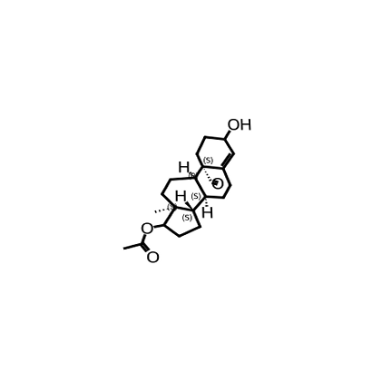 CC(=O)OC1CC[C@H]2[C@@H]3CCC4=CC(O)CC[C@]4(C=O)[C@@H]3CC[C@]12C